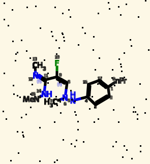 CCCc1ccc(NN(C)/C=C(F)\C(=N/C)NNC)cc1